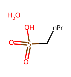 CCCCS(=O)(=O)O.O